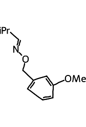 COc1cccc(CON=CC(C)C)c1